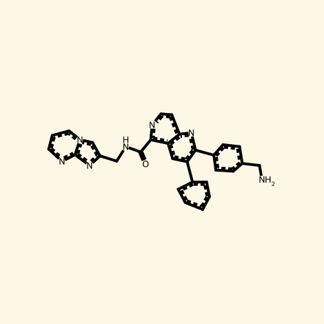 NCc1ccc(-c2nc3ccnc(C(=O)NCc4cn5cccnc5n4)c3cc2-c2ccccc2)cc1